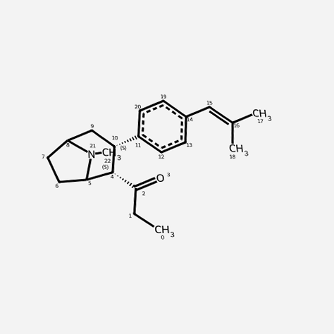 CCC(=O)[C@@H]1C2CCC(C[C@@H]1c1ccc(C=C(C)C)cc1)N2C